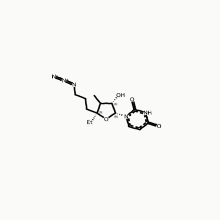 CC[C@@]1(CCCN=[N+]=[N-])O[C@@H](n2ccc(=O)[nH]c2=O)[C@@H](O)C1C